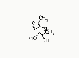 CC(O)CO.Cc1occc1S